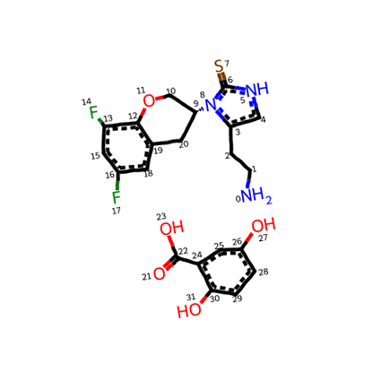 NCCc1c[nH]c(=S)n1[C@H]1COc2c(F)cc(F)cc2C1.O=C(O)c1cc(O)ccc1O